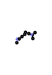 c1ccc(-c2cc(-c3ccccc3)nc(-c3ccc(-c4cccc5cc(-c6ccc(-c7ccc8c(c7)ncn8-c7ccccc7)cc6)ccc45)cc3)n2)cc1